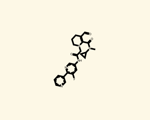 CN(C(=O)C1=C(C=O)CCCN1CC(=O)Nc1cnc(-c2cccnc2)c(F)c1)C1CC1